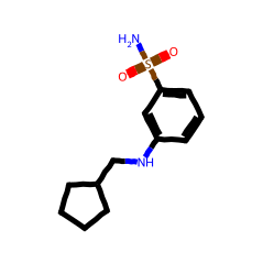 NS(=O)(=O)c1cccc(NCC2CCCC2)c1